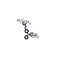 C=C\C=C/C(/C=C/c1ccc(N(C(/C=C\C)=C/C)c2ccccc2)cc1)=C\C